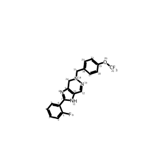 Fc1ccccc1-c1nc2c([nH]1)C=NN(Cc1ccc(OC(F)(F)F)cc1)C2